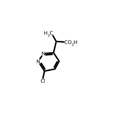 CC(C(=O)O)c1ccc(Cl)nn1